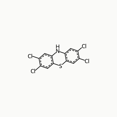 Clc1cc2c(cc1Cl)Sc1cc(Cl)c(Cl)cc1N2